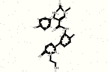 Cc1ccc(-c2ccc(=O)n(CCO)n2)cc1NC(=O)C1=CN(C)C(=O)N[C@H]1c1ccc(F)cc1